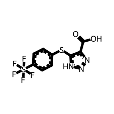 O=C(O)c1nn[nH]c1Sc1ccc(S(F)(F)(F)(F)F)cc1